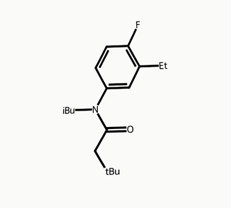 CCc1cc(N(C(=O)CC(C)(C)C)C(C)CC)ccc1F